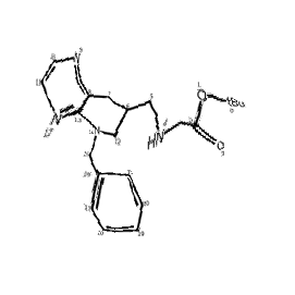 CC(C)(C)OC(=O)NCC1Cc2nccnc2N(Cc2ccccc2)C1